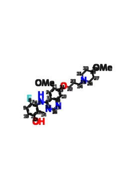 COc1cc2c(Nc3c(F)ccc(O)c3C)ncnc2cc1OCCCN1CCC(OC)CC1